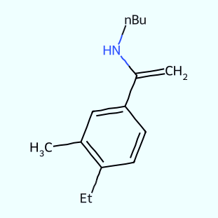 C=C(NCCCC)c1ccc(CC)c(C)c1